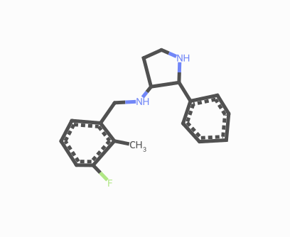 Cc1c(F)cccc1CNC1CCNC1c1ccccc1